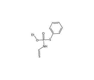 CCOP(=O)(NC=S)Sc1ccccc1